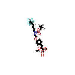 CCOC(Cc1ccc(OCCN(CCCCC(F)(F)C(F)(F)F)C(=O)OCC(C)(C)C)cc1)C(=O)O